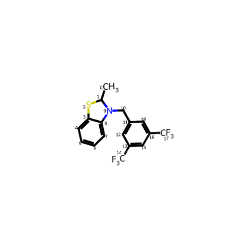 CC1Sc2ccccc2N1Cc1cc(C(F)(F)F)cc(C(F)(F)F)c1